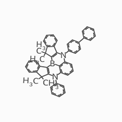 CC1(C)C2=C(c3ccccc31)N(c1ccc(-c3ccccc3)cc1)c1cccc3c1B2C1=C(N3c2ccccc2)C(C)(C)c2ccccc21